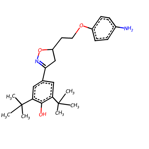 CC(C)(C)c1cc(C2=NOC(CCOc3ccc(N)cc3)C2)cc(C(C)(C)C)c1O